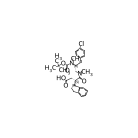 CN(C[C@@H](Cc1ccc(Cl)cc1)N(C)C(=O)OC(C)(C)C)C(=O)[C@@H](CC(=O)O)[C@H]1CCc2ccccc21